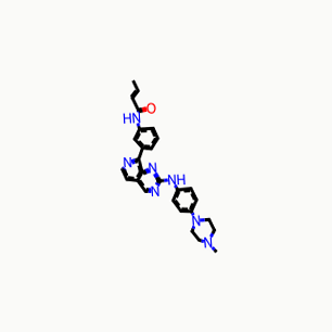 C/C=C/C(=O)Nc1cccc(-c2nccc3cnc(Nc4ccc(N5CCN(C)CC5)cc4)nc23)c1